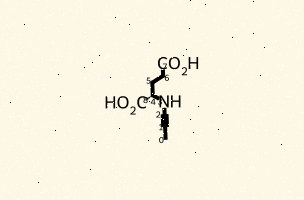 CC#CN[C@@H](CCC(=O)O)C(=O)O